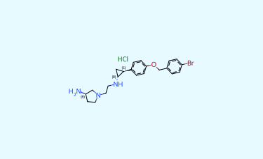 Cl.N[C@@H]1CCN(CCN[C@@H]2C[C@H]2c2ccc(OCc3ccc(Br)cc3)cc2)C1